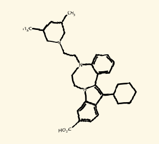 CC1CC(C)CN(CCN2CCn3c(c(C4CCCCC4)c4ccc(C(=O)O)cc43)-c3ccccc32)C1